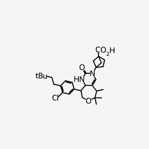 CC1C2=CN(C34CCC(C(=O)O)(C3)C4)C(=O)NC2C(c2ccc(CCC(C)(C)C)c(Cl)c2)COC1(C)C